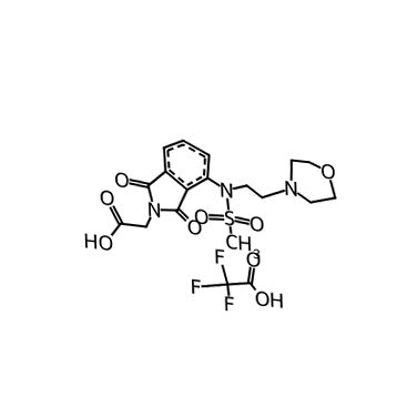 CS(=O)(=O)N(CCN1CCOCC1)c1cccc2c1C(=O)N(CC(=O)O)C2=O.O=C(O)C(F)(F)F